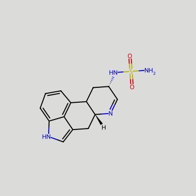 NS(=O)(=O)N[C@@H]1C=N[C@@H]2Cc3c[nH]c4cccc(c34)C2C1